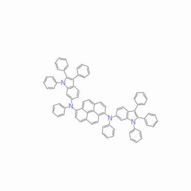 c1ccc(-c2c(-c3ccccc3)n(-c3ccccc3)c3cc(N(c4ccccc4)c4ccc5ccc6c(N(c7ccccc7)c7ccc8c(-c9ccccc9)c(-c9ccccc9)n(-c9ccccc9)c8c7)ccc7ccc4c5c76)ccc23)cc1